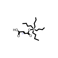 CCCCP(CCCC)(CCCC)(CCCC)OC(=O)/C=C/C(=O)O